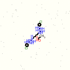 CCCC(=O)O.N=C(NCCCCCCNC(=N)NC(=N)Nc1ccc(Cl)cc1)NC(=N)Nc1ccc(Cl)cc1